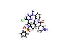 O=C(N[C@H]1CCC[C@@H](Nc2ncc(Cl)c(-c3cn(S(=O)(=O)c4ccccc4)c4ccccc34)n2)C1)[C@@H]1CCCNC1